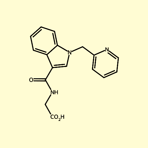 O=C(O)CNC(=O)c1cn(Cc2ccccn2)c2ccccc12